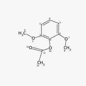 COc1cccc(OC)c1OC(C)=O